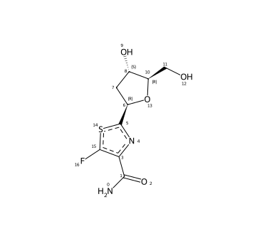 NC(=O)c1nc([C@H]2C[C@H](O)[C@@H](CO)O2)sc1F